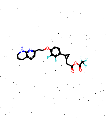 O=C(CC1CC1c1ccc(OCCc2ccc3c(n2)NCCC3)c(F)c1F)OC(=O)C(F)(F)F